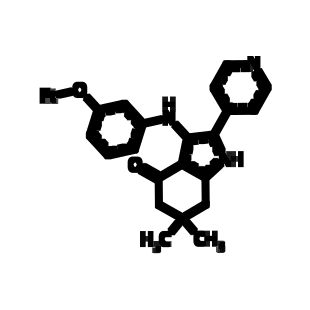 CCOc1cccc(Nc2c(-c3ccncc3)[nH]c3c2C(=O)CC(C)(C)C3)c1